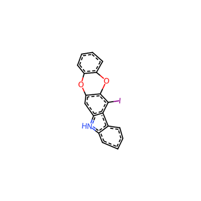 Ic1c2c(cc3[nH]c4ccccc4c13)Oc1ccccc1O2